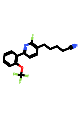 N#CCCCCc1ccc(-c2ccc[c]c2OC(F)(F)F)nc1F